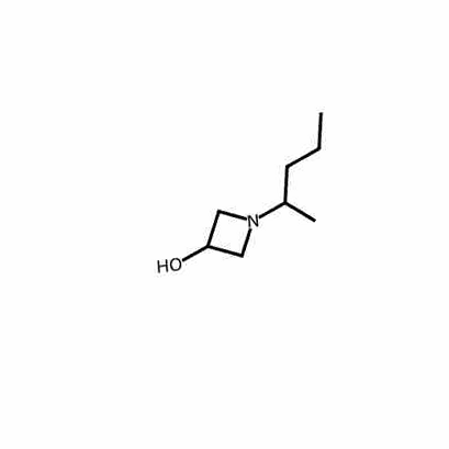 CCCC(C)N1CC(O)C1